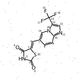 O=C1NC(=O)/C(=C/c2ccc3ncc(C(F)(F)F)n3c2)S1